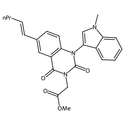 CCCC=Cc1ccc2c(c1)c(=O)n(CC(=O)OC)c(=O)n2-c1cn(C)c2ccccc12